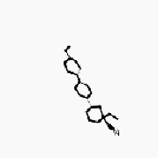 CCC1(C#N)CCCC([C@H]2CC[C@H]([C@H]3CC[C@H](CC)CC3)CC2)C1